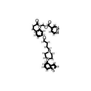 O=C(OCN1C(=O)CCc2ccc(OCCCCN3CCN(c4cccc5sccc45)CC3)cc21)c1ccnnc1